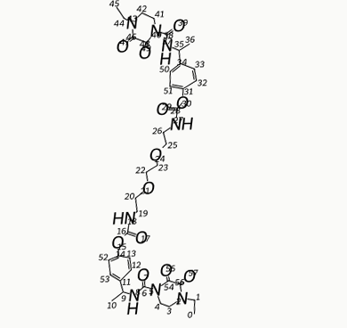 CCN1CCN(C(=O)NC(C)c2ccc(OC(=O)NCCOCCOCCNC(=O)Oc3ccc(C(C)NC(=O)N4CCN(CC)C(=O)C4=O)cc3)cc2)C(=O)C1=O